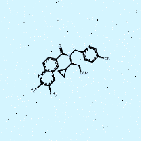 COCC(C1CC1)N(Cc1ccc(C(F)(F)F)cn1)C(=O)c1ccc2nc(N)c(C)cc2c1